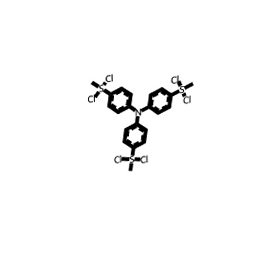 CS(Cl)(Cl)c1ccc(N(c2ccc(S(C)(Cl)Cl)cc2)c2ccc(S(C)(Cl)Cl)cc2)cc1